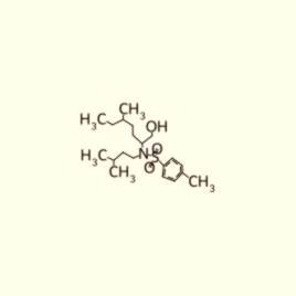 CCC(C)CCC(CO)N(CCC(C)C)S(=O)(=O)c1ccc(C)cc1